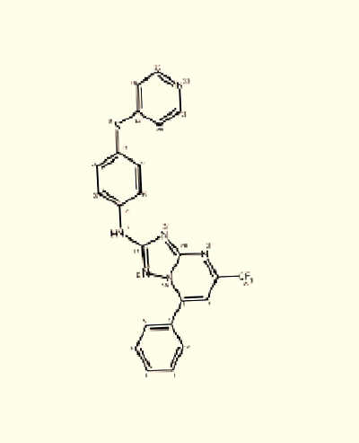 FC(F)(F)c1cc(-c2ccccc2)n2nc(Nc3ccc(Sc4ccncc4)cc3)nc2n1